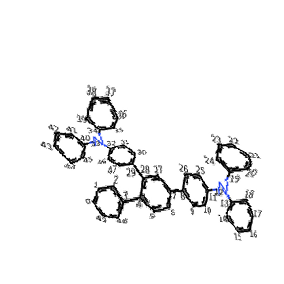 c1ccc(-c2ccc(-c3ccc(N(c4ccccc4)c4ccccc4)cc3)cc2-c2ccc(N(c3ccccc3)c3ccccc3)cc2)cc1